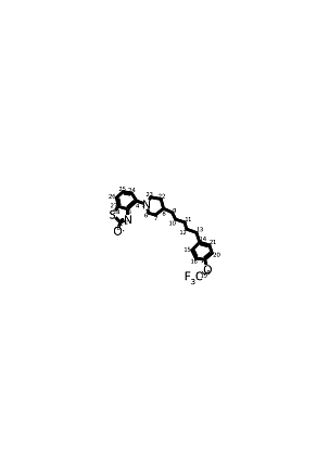 [O]c1nc2c(N3CCC(CCCCCc4ccc(OC(F)(F)F)cc4)CC3)cccc2s1